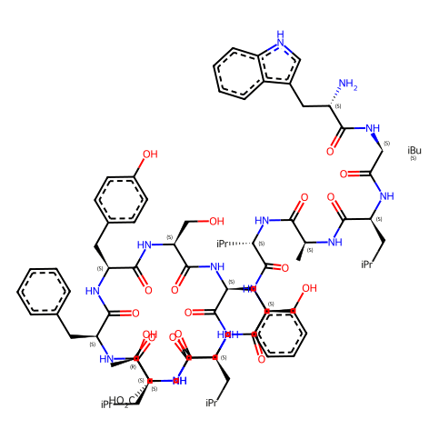 CC[C@H](C)[C@H](NC(=O)[C@@H](N)Cc1c[nH]c2ccccc12)C(=O)N[C@@H](CC(C)C)C(=O)N[C@@H](C)C(=O)N[C@H](C(=O)N[C@@H](CO)C(=O)NCC(=O)N[C@@H](CC(C)C)C(=O)N[C@@H](Cc1ccccc1)C(=O)N[C@@H](Cc1ccc(O)cc1)C(=O)N[C@@H](CO)C(=O)N[C@@H](Cc1ccccc1)C(=O)N[C@@H](CC(C)C)C(=O)N[C@H](C(=O)O)[C@@H](C)O)C(C)C